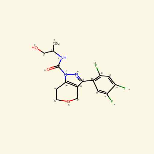 CC(C)(C)C(CO)NC(=O)n1nc(-c2cc(F)c(F)cc2F)c2c1CCOC2